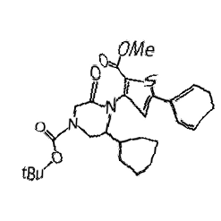 COC(=O)c1sc(C2=CCCC=C2)cc1N1C(=O)CN(C(=O)OC(C)(C)C)CC1C1CCCCC1